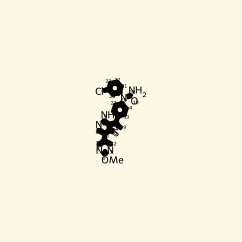 COc1ncc(-c2cnc(N)c3c(-c4ccc(N(C(N)=O)c5cccc(Cl)c5)cc4)csc23)cn1